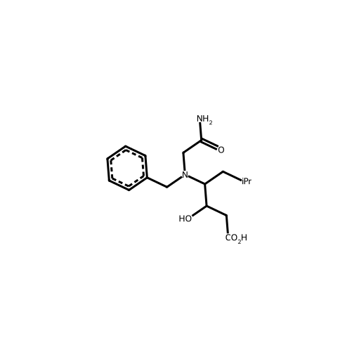 CC(C)CC(C(O)CC(=O)O)N(CC(N)=O)Cc1ccccc1